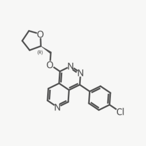 Clc1ccc(-c2nnc(OC[C@H]3CCCO3)c3ccncc23)cc1